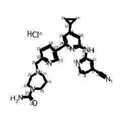 Cl.N#Cc1ccnc(Nc2cc(C3CC3)cc(-c3ccc(CN4CCCN(C(N)=O)CC4)nc3)n2)c1